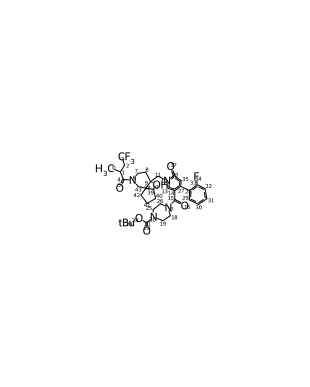 CC(CC(F)(F)F)C(=O)N1CCC(O)(Cn2cc(C(=O)N3CCN(C(=O)OC(C)(C)C)CC3)c(-c3ccccc3F)cc2=O)C2(CCCC2)C1